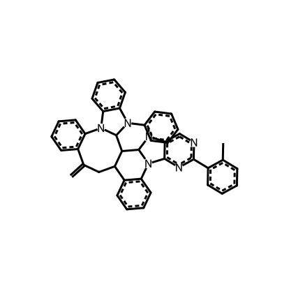 C=C1CC2c3ccccc3N3c4nc(-c5ccccc5C)ncc4N(C)C3C2C2N(c3ccccc3)c3ccccc3N2c2ccccc21